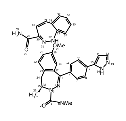 CNC(=O)N1N=C(c2ccc(-c3ccn[nH]3)cc2)c2cc(OC)ccc2C[C@@H]1C.NC(=O)C1=NNc2ccccc2C=C1